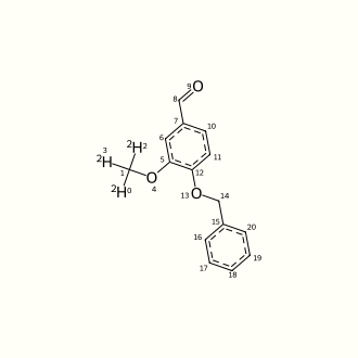 [2H]C([2H])([2H])Oc1cc(C=O)ccc1OCc1ccccc1